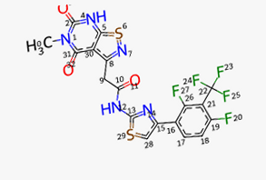 Cn1c(=O)[nH]c2snc(CC(=O)Nc3nc(-c4ccc(F)c(C(F)(F)F)c4F)cs3)c2c1=O